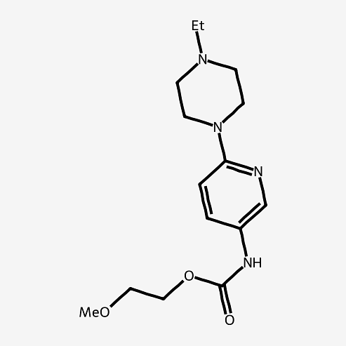 CCN1CCN(c2ccc(NC(=O)OCCOC)cn2)CC1